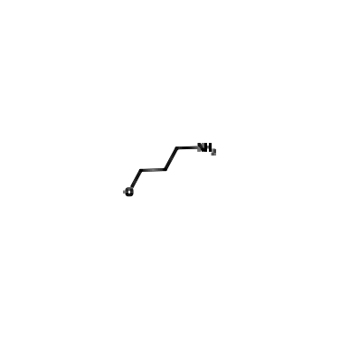 NCCC[O]